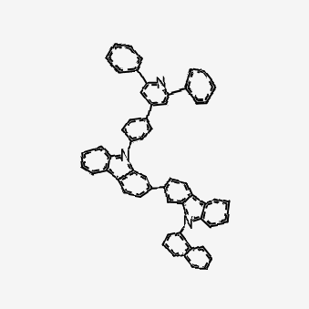 c1ccc(-c2cc(-c3ccc(-n4c5ccccc5c5ccc(-c6ccc7c8ccccc8n(-c8cccc9ccccc89)c7c6)cc54)cc3)cc(-c3ccccc3)n2)cc1